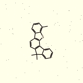 Cc1cccc2c1sc1c3c(ccc12)C(C)(C)c1ccccc1-3